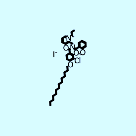 CCCCCCCCCCCCCCOc1ccc(C(=O)N(Cc2cccc[n+]2CCC)C(=O)c2ccccc2OC)cc1Cl.[I-]